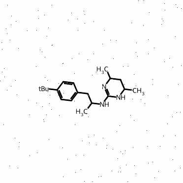 CC1CC(C)NC(NC(C)Cc2ccc(C(C)(C)C)cc2)=N1